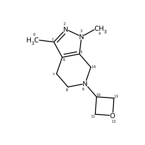 Cc1nn(C)c2c1CCN(C1COC1)C2